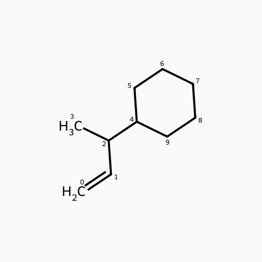 C=CC(C)C1CCCCC1